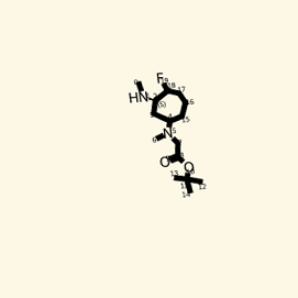 CN[C@H]1CC(N(C)CC(=O)OC(C)(C)C)CCCC1F